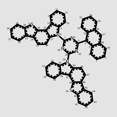 c1ccc2c(-c3nc(-n4c5ccccc5c5c6sc7ccccc7c6ccc54)nc(-n4c5ccccc5c5c6sc7ccccc7c6ccc54)n3)c3ccccc3cc2c1